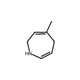 CC1=CCNC=CC1